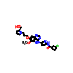 COc1cc2c(Nc3ccc(NC(=O)c4cccc(Cl)c4)nc3)ncnc2cc1OCCCN1CCC[C@H]1CO